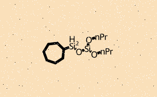 CCCO[Si](OCCC)O[SiH2]C1CCCCCC1